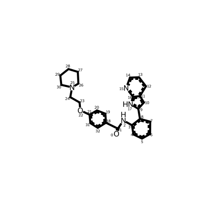 O=C(Nc1ccccc1-c1cc2cccnc2[nH]1)c1ccc(OCCN2CCCCC2)cc1